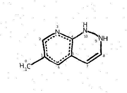 Cc1cnc2c(c1)C=CNN2